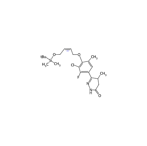 Cc1cc(C2=NNC(=O)CC2C)c(F)c(Cl)c1OC/C=C\CO[Si](C)(C)C(C)(C)C